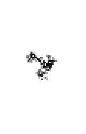 COc1ccc(C23CCC(NC(=O)NSc4cccc(C(F)(F)F)c4)CC2N(C)CC3)cc1OC.O=C(O)C(F)(F)F